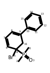 CP(C)(=O)C1(Br)C=CC=C(c2ccccc2)C1